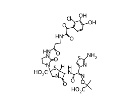 CC(C)(O/N=C(\C(=O)N[C@@H]1C(=O)N2C[C@@](C(=O)O)(N3CCN(NC(=O)CCNC(=O)C(=O)c4ccc(O)c(O)c4Cl)C3=O)S[C@H]12)c1csc(N)n1)C(=O)O